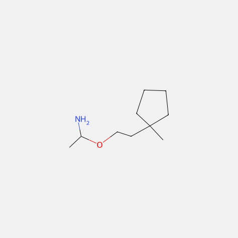 CC(N)OCCC1(C)CCCC1